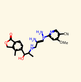 COc1cc(N(N)/C=C(\N)CNC(C)C(O)c2ccc3c(c2C)COC3=O)ncc1C#N